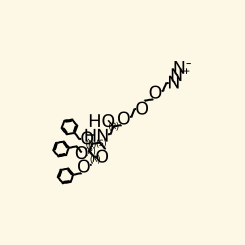 [N-]=[N+]=NCCOCCOCCOC[C@H](O)CN[C@H]1CO[C@H](COCc2ccccc2)[C@H](OCc2ccccc2)[C@@H]1OCc1ccccc1